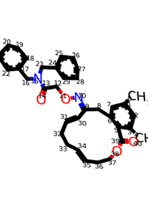 Cc1cc(C)c2c(c1)CC(=N/OCC(=O)N(Cc1ccccc1)Cc1ccccc1)/C=C/CC/C=C/CCOC2=O